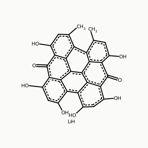 Cc1cc(O)c2c(=O)c3c(O)cc(O)c4c5c(O)cc(O)c6c(=O)c7c(O)cc(C)c8c1c2c(c34)c(c78)c65.[LiH]